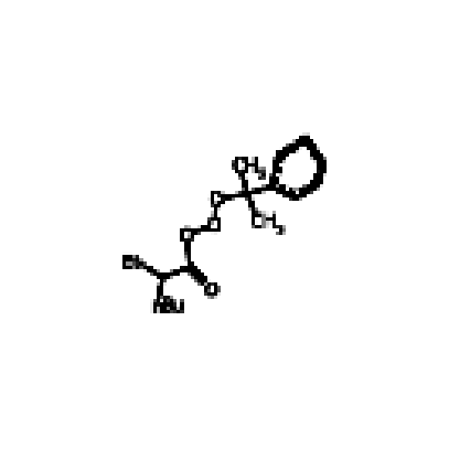 CCCCC(CC)C(=O)OOOC(C)(C)c1ccccc1